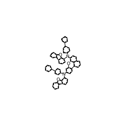 c1ccc(-c2ccc(N(c3ccc4c(c3)Oc3c(N(c5ccc(-c6ccccc6)cc5)c5cccc6c5oc5ccccc56)ccc5cccc-4c35)c3cccc4c3oc3ccccc34)cc2)cc1